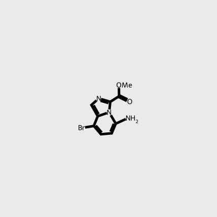 COC(=O)c1ncc2c(Br)ccc(N)n12